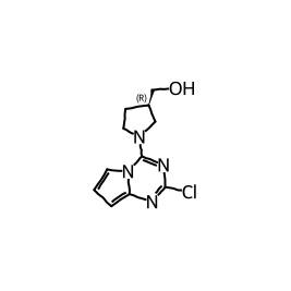 OC[C@@H]1CCN(c2nc(Cl)nc3cccn23)C1